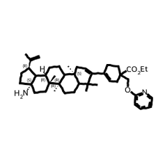 C=C(C)[C@@H]1CC[C@]2(N)CC[C@]3(C)[C@H](CCC4[C@@]5(C)CC=C(C6=CCC(COc7ccccn7)(C(=O)OCC)CC6)C(C)(C)C5CC[C@]43C)C12